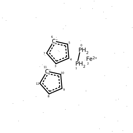 PP.[Fe+2].c1cc[cH-]c1.c1cc[cH-]c1